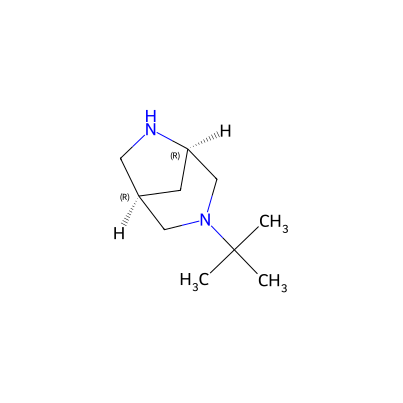 CC(C)(C)N1C[C@H]2CN[C@H](C2)C1